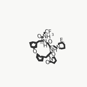 O=C(NCC(F)(F)F)[C@@H]1Cc2cccc(c2)Oc2cccc(c2)C[C@H](N2CCCC2=O)C(=O)N[C@@H](CCN2CCC[C@@H](F)C2)C(=O)N1